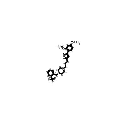 COc1ccc(-c2cc(CCCN3CCN(Cc4ccccc4C(F)(F)F)CC3)on2)c(OC)c1